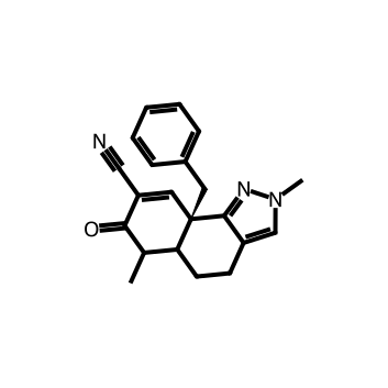 CC1C(=O)C(C#N)=C[C@]2(Cc3ccccc3)c3nn(C)cc3CCC12